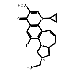 NC[C@@H]1CC2CC=Cc3c(c(F)cc4c(=O)c(C(=O)O)cn(C5CC5)c34)N2C1